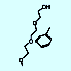 COCCOCCOCCO.Cc1ccccc1